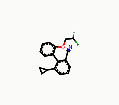 N#Cc1cccc(C2CC2)c1-c1ccccc1OCC(F)F